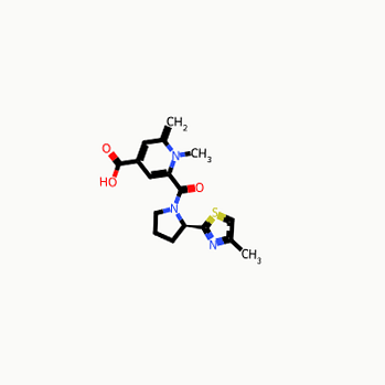 C=C1C=C(C(=O)O)C=C(C(=O)N2CCC[C@@H]2c2nc(C)cs2)N1C